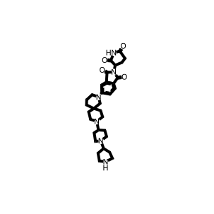 O=C1CCC(N2C(=O)c3ccc(N4CCCC5(CCN(C6CCN(C7CCNCC7)CC6)CC5)C4)cc3C2=O)C(=O)N1